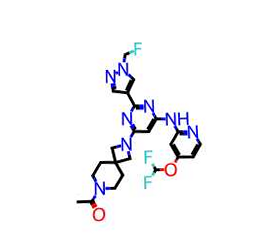 CC(=O)N1CCC2(CC1)CN(c1cc(Nc3cc(OC(F)F)ccn3)nc(-c3cnn(CF)c3)n1)C2